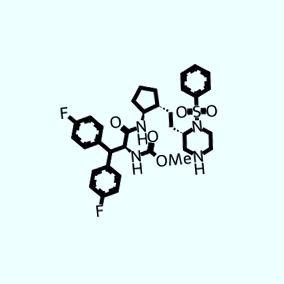 COC(=O)N[C@H](C(=O)N[C@H]1CCC[C@@H]1CC[C@H]1CNCCN1S(=O)(=O)c1ccccc1)C(c1ccc(F)cc1)c1ccc(F)cc1